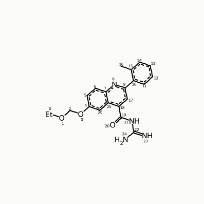 CCOCOc1ccc2nc(-c3ccccc3C)cc(C(=O)NC(=N)N)c2c1